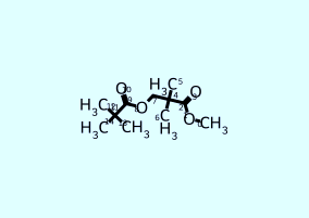 COC(=O)C(C)(C)COC(=O)C(C)(C)C